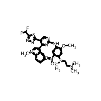 COc1cc(N(C)CCN(C)C)c([N+](=O)[O-])cc1Nc1ncc(-c2nnc(C(F)F)s2)c(-c2cn(C)c3ccccc23)n1